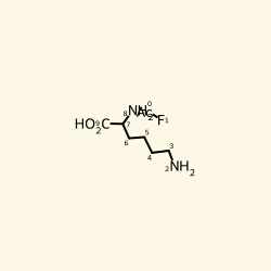 CC(=O)F.NCCCCC(N)C(=O)O